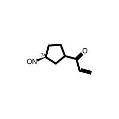 C=CC(=O)C1CC[C@H](N=O)C1